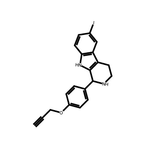 C#CCOc1ccc(C2NCCc3c2[nH]c2ccc(I)cc32)cc1